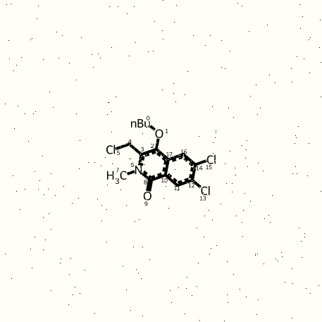 CCCCOc1c(CCl)n(C)c(=O)c2cc(Cl)c(Cl)cc12